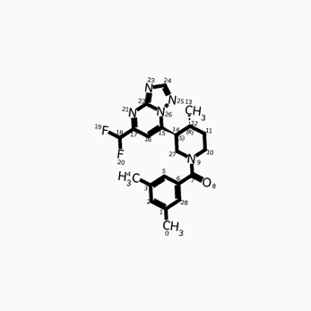 Cc1cc(C)cc(C(=O)N2CC[C@@H](C)[C@H](c3cc(C(F)F)nc4ncnn34)C2)c1